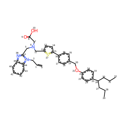 C=CCn1c(CN(CC(=O)O)Cc2ccc(-c3ccc(COc4ccc(C(CCC)CCC)cc4)cc3)s2)nc2ccccc21